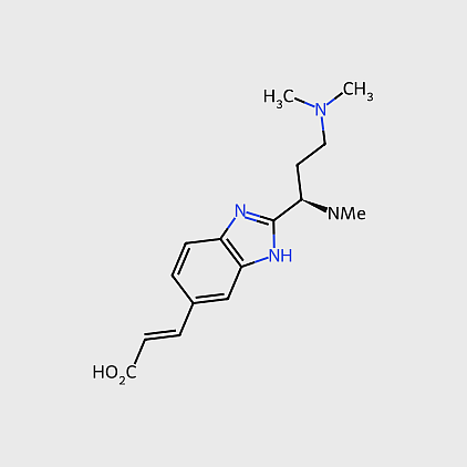 CN[C@H](CCN(C)C)c1nc2ccc(/C=C/C(=O)O)cc2[nH]1